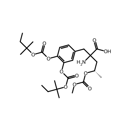 CCC(C)(C)OC(=O)Oc1ccc(CC(N)(C[C@H](C)OC(=O)OC)C(=O)O)cc1OC(=O)OC(C)(C)CC